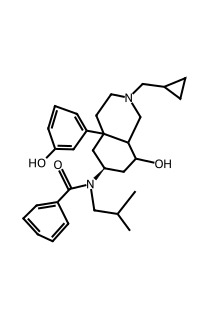 CC(C)CN(C(=O)c1ccccc1)[C@@H]1CC(O)C2CN(CC3CC3)CCC2(c2cccc(O)c2)C1